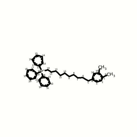 Cc1ccc(CCCCCCCCCC[P+](c2ccccc2)(c2ccccc2)c2ccccc2)cc1C